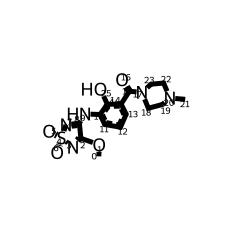 COC1=NS(=O)(=O)N=C1Nc1cccc(C(=O)N2CCN(C)CC2)c1O